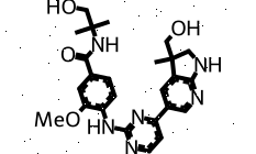 COc1cc(C(=O)NC(C)(C)CO)ccc1Nc1nccc(-c2cnc3c(c2)C(C)(CO)CN3)n1